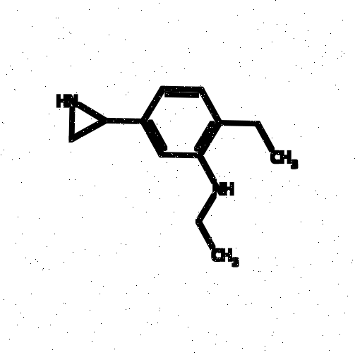 CCNc1cc(C2CN2)ccc1CC